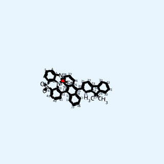 CCc1nc2cccc3c2n1-c1c(-c2c4ccccc4c(-c4ccc5c(c4)C(C)(C)c4ccccc4-5)c4ccccc24)cccc1S3(=O)=O